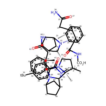 CC1C[C@@H](C2C3CCC(C3)N2[C@@]2(C(=O)NC(=O)O)c3ccc(cc3)[C@]2(C)CC(N)=O)N(c2ccc(C(C)(C)C)cc2)[C@]1(C)C1C2CCC(C2)N1[C@@]1(C(=O)NC(=O)O)c2ccc(cc2)[C@]1(C)CC(N)=O